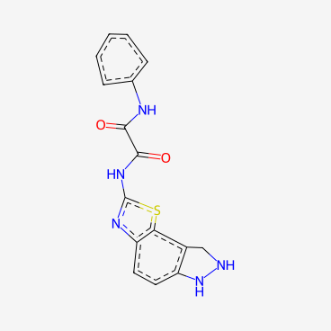 O=C(Nc1ccccc1)C(=O)Nc1nc2ccc3c(c2s1)CNN3